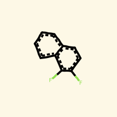 Fc1ccc2c[c]ccc2c1F